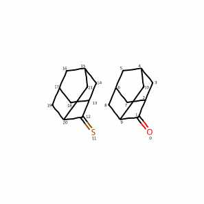 O=C1C2CC3CC(C2)CC1C3.S=C1C2CC3CC(C2)CC1C3